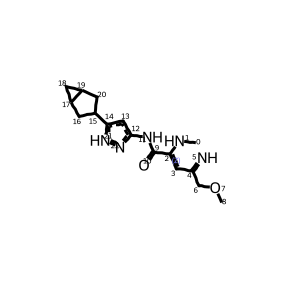 CN/C(=C\C(=N)COC)C(=O)Nc1cc(C2CC3CC3C2)[nH]n1